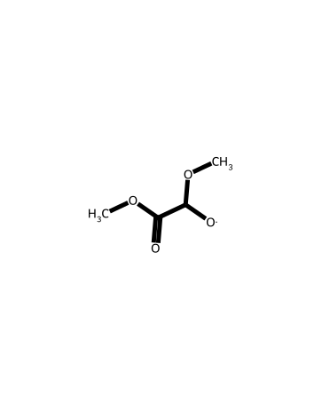 COC(=O)C([O])OC